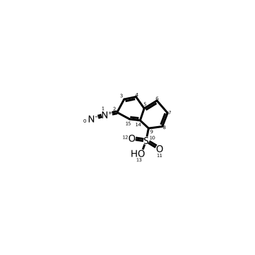 [N-]=[N+]=C1C=CC2=CC=CC(S(=O)(=O)O)C2=C1